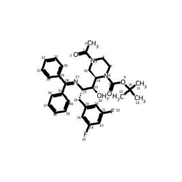 CC(=O)N1CCN(C(=O)OC(C)(C)C)[C@@H]([C@@H](O)[C@H](Cc2cc(F)cc(F)c2)N=C(c2ccccc2)c2ccccc2)C1